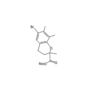 COC(=O)C1(C)CCc2cc(Br)c(C)c(C)c2O1